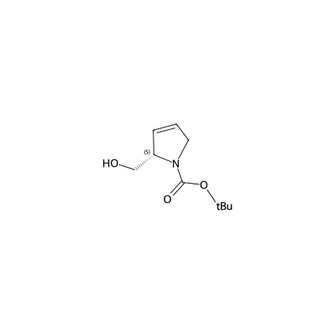 CC(C)(C)OC(=O)N1CC=C[C@H]1CO